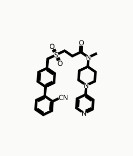 CN(C(=O)CCS(=O)(=O)Cc1ccc(-c2ccccc2C#N)cc1)C1CCN(c2ccncc2)CC1